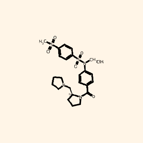 CN(c1ccc(C(=O)N2CCC[C@H]2CN2CCCC2)cc1)S(=O)(=O)c1ccc(S(C)(=O)=O)cc1.Cl